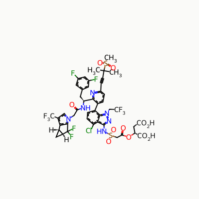 CC(C)(C#Cc1ccc(-c2ccc(Cl)c3c(NS(=O)(=O)CC(=O)O[C@@H](CC(=O)O)C(=O)O)nn(CC(F)(F)F)c23)c([C@H](Cc2cc(F)cc(F)c2)NC(=O)Cn2cc(C(F)(F)F)c3c2C(F)(F)[C@@H]2C[C@H]32)n1)S(C)(=O)=O